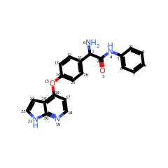 NC(C(=O)Nc1ccccc1)c1ccc(Oc2ccnc3[nH]ccc23)cc1